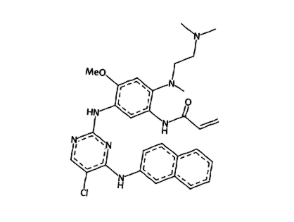 C=CC(=O)Nc1cc(Nc2ncc(Cl)c(Nc3ccc4ccccc4c3)n2)c(OC)cc1N(C)CCN(C)C